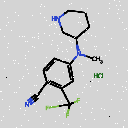 CN(c1ccc(C#N)c(C(F)(F)F)c1)[C@@H]1CCCNC1.Cl